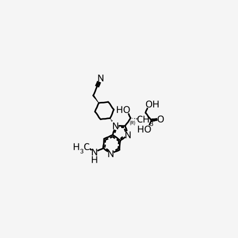 CNc1cc2c(cn1)nc([C@@H](C)O)n2[C@H]1CC[C@H](CC#N)CC1.O=C(O)CO